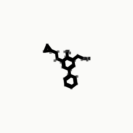 O=C(O)Cc1cc(-c2ccccc2)cc(OCC2CC2)c1C(F)(F)F